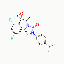 CC(C)c1ccc(-n2ccn([C@H](C)[C@]3(c4ccc(F)cc4F)CO3)c2=O)cc1